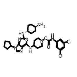 N[C@H]1CC[C@H](Nc2nc(NC3CCN(OC(=O)Nc4cc(Cl)cc(Cl)c4)CC3)c3ncn(C4CCCC4)c3n2)CC1